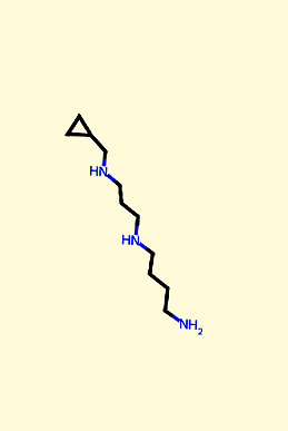 NCCCCNCCCNCC1CC1